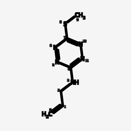 C=CCNc1nnc(SC)nn1